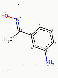 C/C(=N\O)c1cccc(N)c1